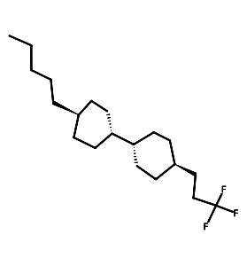 CCCCC[C@H]1CC[C@H]([C@H]2CC[C@H](CCC(F)(F)F)CC2)CC1